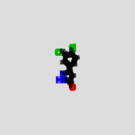 O=C1CC(c2ccc(Cl)c(Cl)c2)=NN1